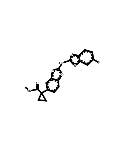 CNC(=O)C1(c2ccc3oc(Nc4nc5cc(F)ccc5o4)nc3c2)CC1